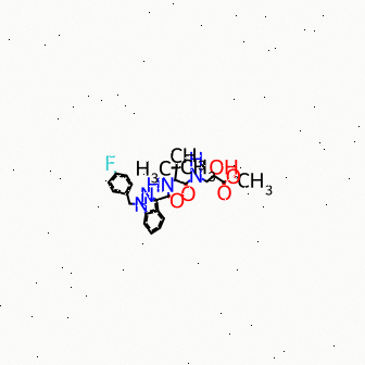 COC(=O)[C@@H](O)CNC(=O)[C@@H](NC(=O)c1nn(Cc2ccc(F)cc2)c2ccccc12)C(C)(C)C